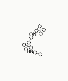 c1ccc(-c2ccc(Nc3ccc4c(c3)C(c3ccccc3)(c3ccccc3)c3ccc(-c5ccc6c(Nc7ccc8c(c7)C(c7ccccc7)(c7ccccc7)c7ccccc7-8)cccc6c5)cc3-4)cc2)cc1